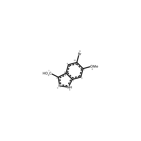 COc1cc2[nH]nc(C(=O)O)c2cc1Br